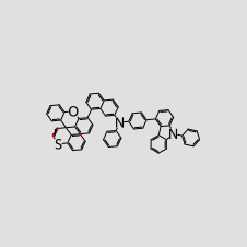 c1ccc(N(c2ccc(-c3cccc4c3c3ccccc3n4-c3ccccc3)cc2)c2ccc3cccc(-c4cccc5c4Oc4ccccc4C54c5ccccc5Sc5ccccc54)c3c2)cc1